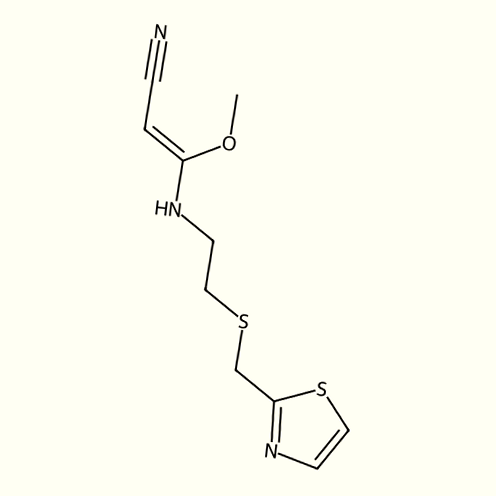 COC(=CC#N)NCCSCc1nccs1